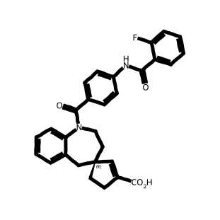 O=C(O)C1=C[C@@]2(CC1)CCN(C(=O)c1ccc(NC(=O)c3ccccc3F)cc1)c1ccccc1C2